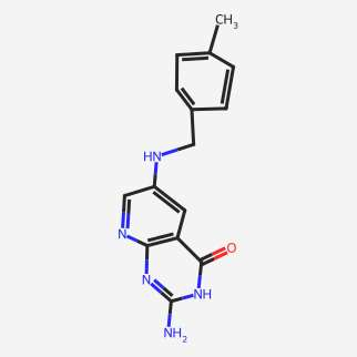 Cc1ccc(CNc2cnc3nc(N)[nH]c(=O)c3c2)cc1